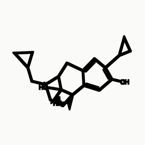 Oc1cc2c(cc1C1CC1)CC1N(CC3CC3)CCC23CCNCCC13O